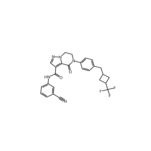 N#Cc1cccc(NC(=O)c2cnn3c2C(=O)N(c2ccc(CC4CC(C(F)(F)F)C4)cc2)CC3)c1